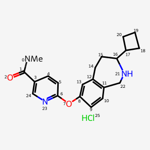 CNC(=O)c1ccc(Oc2ccc3c(c2)CCC(C2CCC2)NC3)nc1.Cl